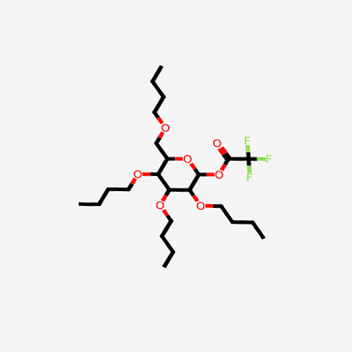 CCCCOCC1OC(OC(=O)C(F)(F)F)C(OCCCC)C(OCCCC)C1OCCCC